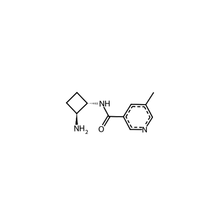 Cc1cncc(C(=O)N[C@H]2CC[C@@H]2N)c1